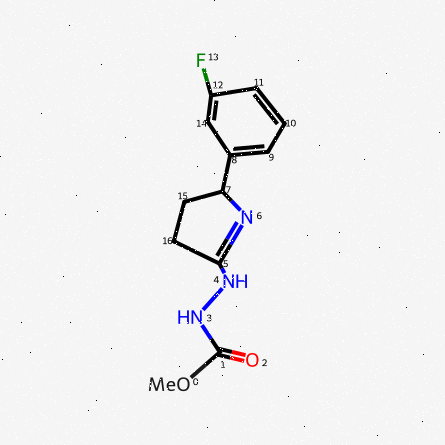 COC(=O)NNC1=NC(c2cccc(F)c2)CC1